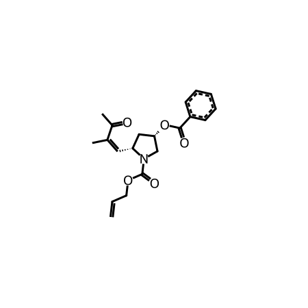 C=CCOC(=O)N1C[C@@H](OC(=O)c2ccccc2)C[C@H]1C=C(C)C(C)=O